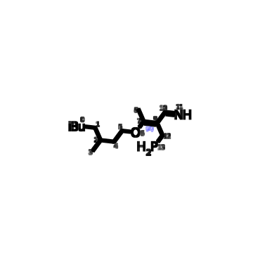 CCC(C)CC(C)CCO/C(C)=C(/C=N)CP